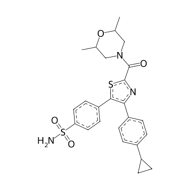 CC1CN(C(=O)c2nc(-c3ccc(C4CC4)cc3)c(-c3ccc(S(N)(=O)=O)cc3)s2)CC(C)O1